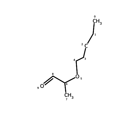 CCCCCOC(C)C=O